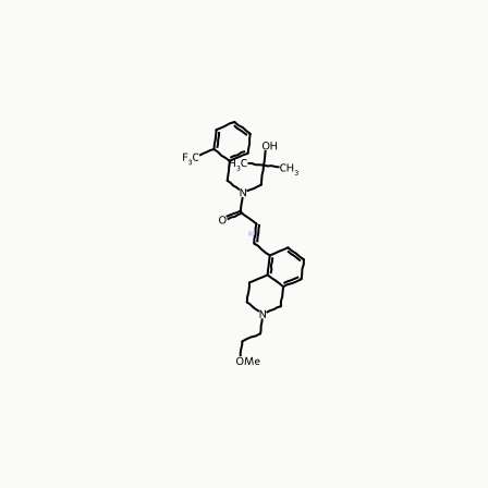 COCCN1CCc2c(/C=C/C(=O)N(Cc3ccccc3C(F)(F)F)CC(C)(C)O)cccc2C1